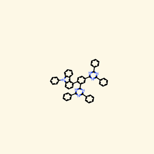 c1ccc(-c2nc(-c3ccccc3)nc(-c3ccc(-c4cccc5c4c4ccccc4n5-c4ccccc4)c(-c4nc(-c5ccccc5)nc(-c5ccccc5)n4)c3)n2)cc1